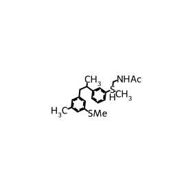 CSc1cc(C)cc(CC(C)c2cccc([SH](C)CNC(C)=O)c2)c1